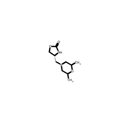 CC1CN(C[C@@H]2COC(=O)N2)CC(C)O1